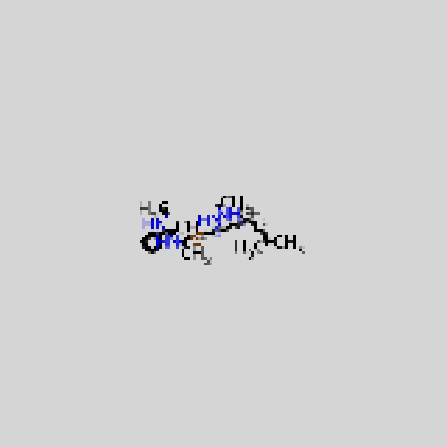 C=CNN/C(=C\CSCC(C)NC(=C)C(NC=C)c1ccccc1)CC/C=C(\C)CCC=C(C)C